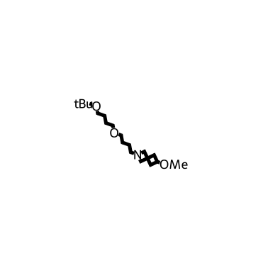 COC1CC2(C1)CN(CCCCOCCCCOC(C)(C)C)C2